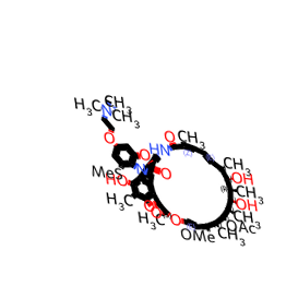 CO[C@H]1/C=C/O[C@@]2(C)Oc3c(C)c(O)c4c(=O)c(c5oc6cc(OCC[N+](C)(C)C)cc(SC)c6nc-5c4c3C2=O)NC(=O)/C(C)=C\C=C\[C@H](C)[C@H](O)[C@@H](C)[C@@H](O)[C@@H](C)[C@H](OC(C)=O)[C@@H]1C